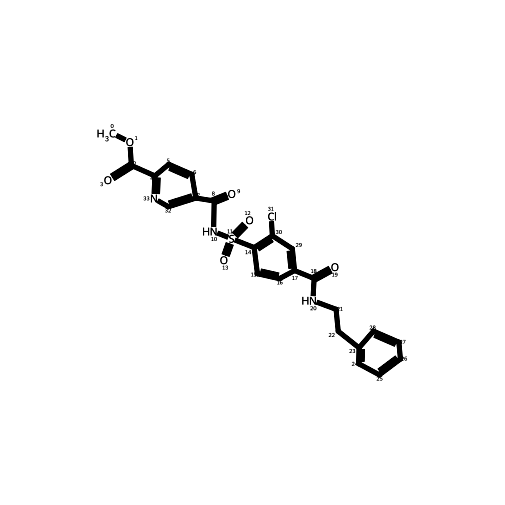 COC(=O)c1ccc(C(=O)NS(=O)(=O)c2ccc(C(=O)NCCc3ccccc3)cc2Cl)cn1